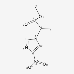 COC(=O)C(C)n1cnc([N+](=O)[O-])c1